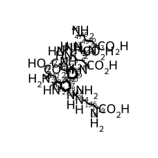 N=C(N)NCCCC(N)C(=O)O.N=C(N)NCCCC(N)C(=O)O.NC(Cc1c[nH]c2ccccc12)C(=O)O.NC(Cc1ccccc1)C(=O)O.NCC(=O)O.NCCCCC(N)C(=O)O